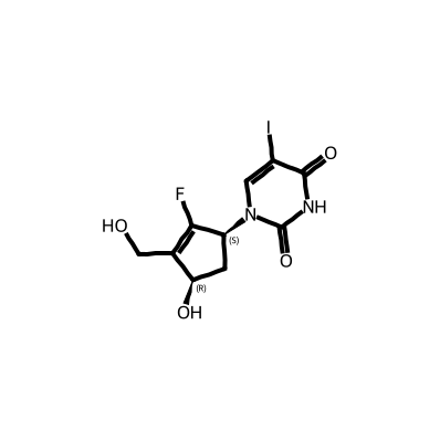 O=c1[nH]c(=O)n([C@H]2C[C@@H](O)C(CO)=C2F)cc1I